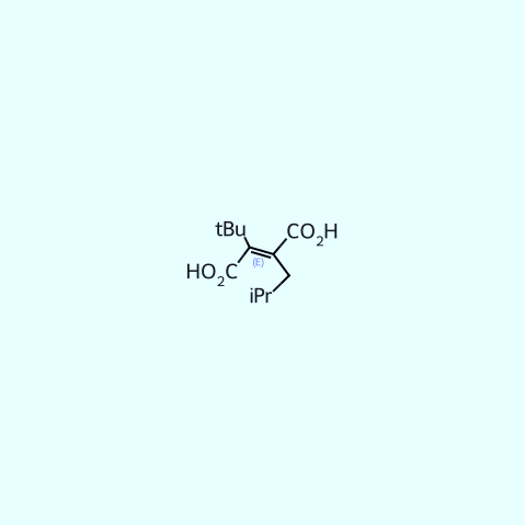 CC(C)C/C(C(=O)O)=C(\C(=O)O)C(C)(C)C